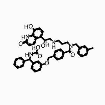 Cc1cccc(CN(CCCNC[C@@H](O)c2ccc(O)c3[nH]c(=O)ccc23)C(=O)c2ccc(COc3cccc(C(NC(=O)O)c4ccccc4)c3)cc2)c1